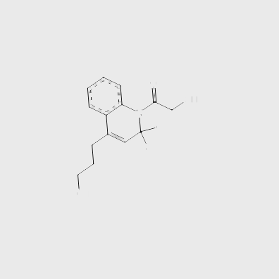 CCCCC1=CC(C)(C)N(C(=O)CC)c2ccccc21